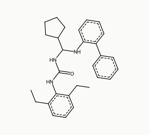 CCc1cccc(CC)c1NC(=O)NC(Nc1ccccc1-c1ccccc1)C1CCCC1